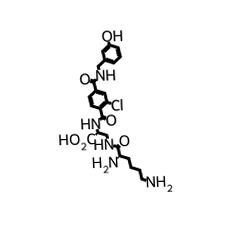 NCCCC[C@H](N)C(=O)NC[C@H](NC(=O)c1ccc(C(=O)NCc2cccc(O)c2)cc1Cl)C(=O)O